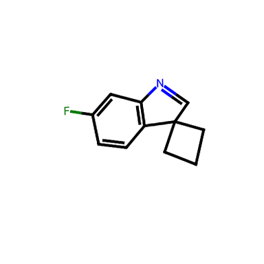 Fc1ccc2c(c1)N=CC21CCC1